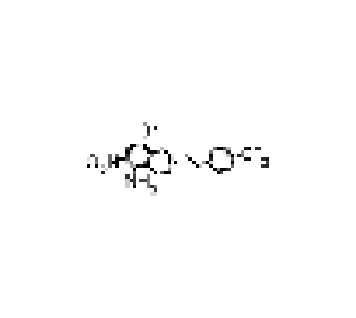 Nc1c([N+](=O)[O-])cc(Br)c2c1CCN(CCc1ccc(C(F)(F)F)cc1)C2